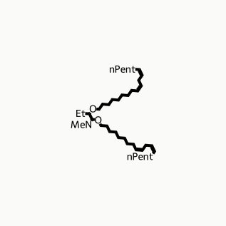 CCCCC/C=C\C/C=C\CCCCCCCCOC(CC)C(NC)OCCCCCCCC/C=C\C/C=C\CCCCC